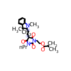 C=C(C)C(=O)OCCN1C(=O)/C(=C\C=C2\N(C)c3ccccc3C2(C)C)C(=O)N(CCC)C1=O